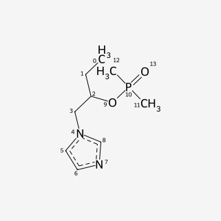 CCC(Cn1ccnc1)OP(C)(C)=O